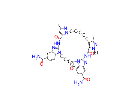 CCn1nc(C)c2c1C(=O)Nc1nc3cc(C(N)=O)cc4c3n1[C@@H](CCCn1c(nc3cc(C(N)=O)ccc31)NC(=O)c1cc(C)nn1CCCCC2)CO4